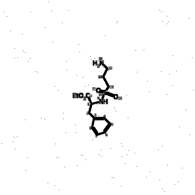 CCOC(=O)[C@H](Cc1ccccc1)NS(=O)(=O)CCCN